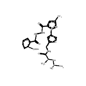 COc1ccccc1C(=O)NNC(=O)c1cc(C(F)(F)F)nn1-c1csc(CNC(=O)[C@H](C)NB(C)O)c1